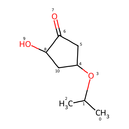 CC(C)OC1CC(=O)C(O)C1